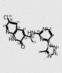 Cc1nnnn1-c1ccnc(N[C@@H](C)c2cc3cc(Cl)cnc3[nH]c2=O)n1